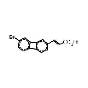 CCOC(=O)C=Cc1ccc2c(c1)-c1cc(Br)ccc1-2